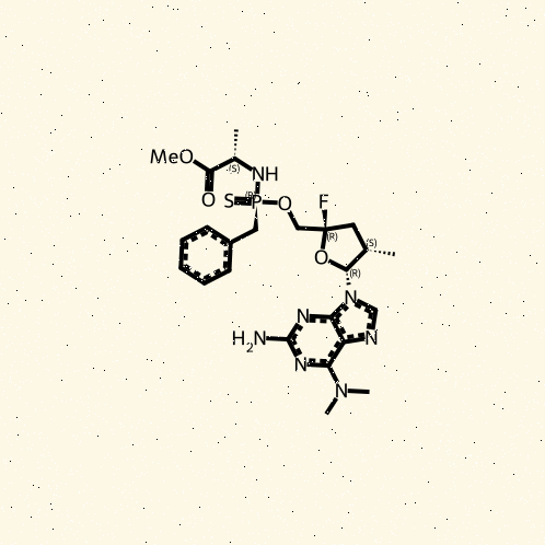 COC(=O)[C@H](C)N[P@](=S)(Cc1ccccc1)OC[C@]1(F)C[C@H](C)[C@H](n2cnc3c(N(C)C)nc(N)nc32)O1